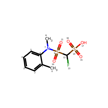 Cc1ccccc1N(C)S(=O)(=O)C(F)S(=O)(=O)O